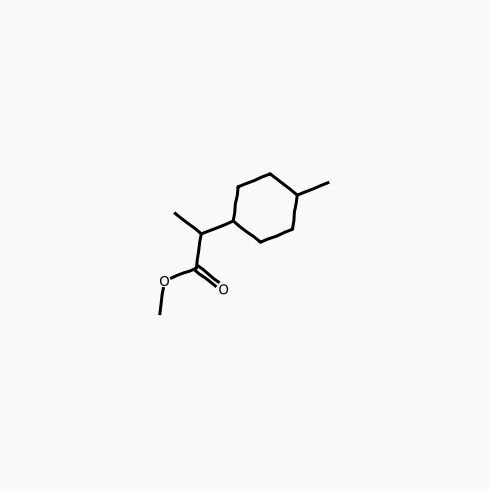 COC(=O)C(C)C1CCC(C)CC1